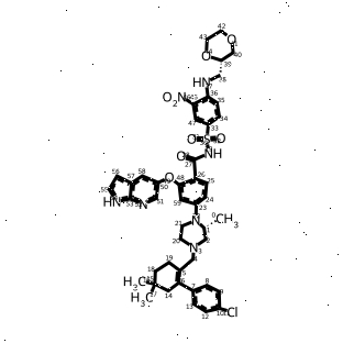 C[C@@H]1CN(CC2=C(c3ccc(Cl)cc3)CC(C)(C)CC2)CCN1c1ccc(C(=O)NS(=O)(=O)c2ccc(NC[C@H]3COCCO3)c([N+](=O)[O-])c2)c(Oc2cnc3[nH]ccc3c2)c1